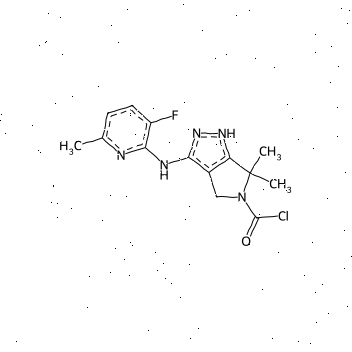 Cc1ccc(F)c(Nc2n[nH]c3c2CN(C(=O)Cl)C3(C)C)n1